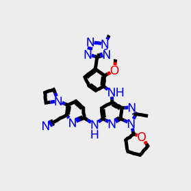 COc1c(Nc2cc(Nc3ccc(N4CCC4)c(C#N)n3)nc3c2nc(C)n3C2CCCCO2)cccc1-c1nnn(C)n1